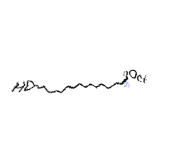 CCCCCCCC/C=C\CCCCCCCCCCCCCCO